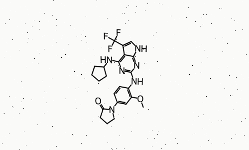 COc1cc(N2CCCC2=O)ccc1Nc1nc(NC2CCCC2)c2c(C(F)(F)F)c[nH]c2n1